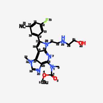 CN(C(=O)OC(C)(C)C)c1nc2c(cc(-c3cc(F)cc(C#N)c3)n2CCNCCO)c2c1ncn2C